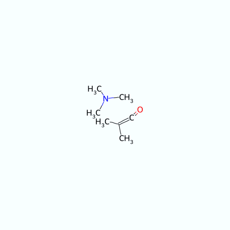 CC(C)=C=O.CN(C)C